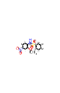 COc1cc([N+](=O)[O-])ccc1NS(=O)(=O)c1ccccc1